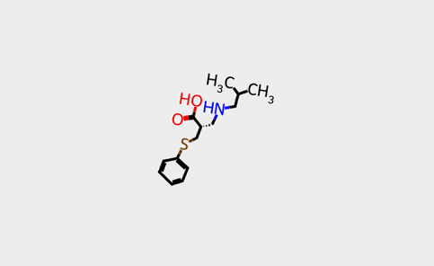 CC(C)CNC[C@H](CSc1ccccc1)C(=O)O